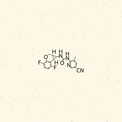 Cc1cc(C#N)cnc1NC(=O)N[C@@H]1[C@@H]2COc3c(F)ccc(F)c3[C@@H]21